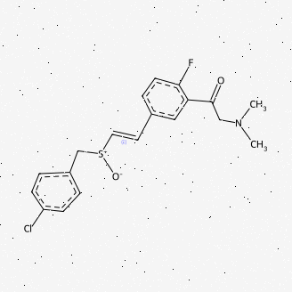 CN(C)CC(=O)c1cc(/C=C/[S+]([O-])Cc2ccc(Cl)cc2)ccc1F